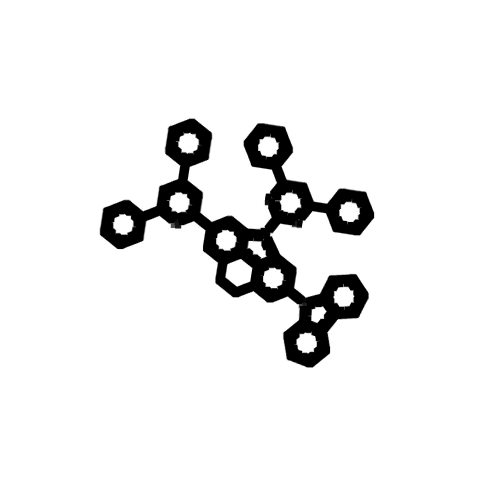 c1ccc(-c2cc(-c3ccccc3)nc(-c3cc4c5c6c(cc(-n7c8ccccc8c8ccccc87)cc6n(-c6nc(-c7ccccc7)cc(-c7ccccc7)n6)c5c3)CC4)c2)cc1